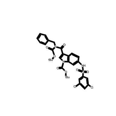 CC(C)(C)OC(=O)N(Cc1ccccc1)C(=O)c1cn(C(=O)OC(C)(C)C)c2cc(NS(=O)(=O)c3cc(Cl)cc(Cl)c3)ccc12